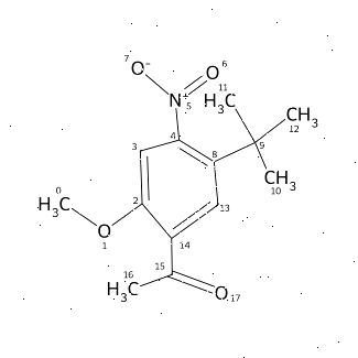 COc1cc([N+](=O)[O-])c(C(C)(C)C)cc1C(C)=O